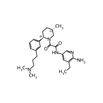 CCc1cc(NC(=O)C(=O)N2C[C@@H](C)CC[C@@H]2c2cccc(CCCN(C)C)c2)cnc1N